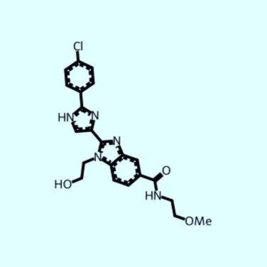 COCCNC(=O)c1ccc2c(c1)nc(-c1c[nH]c(-c3ccc(Cl)cc3)n1)n2CCO